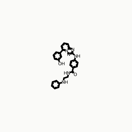 O=C(NCCNc1ccccc1)c1ccc(Nc2nc3cccc(-c4cccc(O)c4)n3n2)cc1